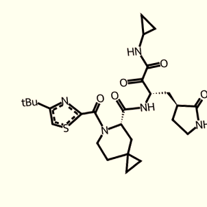 CC(C)(C)c1csc(C(=O)N2CCC3(CC3)C[C@H]2C(=O)N[C@@H](C[C@@H]2CCNC2=O)C(=O)C(=O)NC2CC2)n1